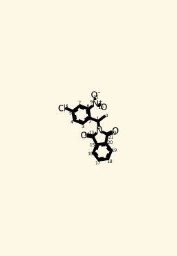 CC(c1ccc(Cl)cc1[N+](=O)[O-])N1C(=O)c2ccccc2C1=O